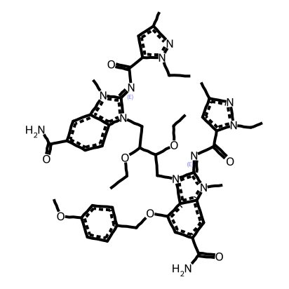 CCOC(Cn1/c(=N/C(=O)c2cc(C)nn2CC)n(C)c2cc(C(N)=O)ccc21)C(Cn1/c(=N/C(=O)c2cc(C)nn2CC)n(C)c2cc(C(N)=O)cc(OCc3ccc(OC)cc3)c21)OCC